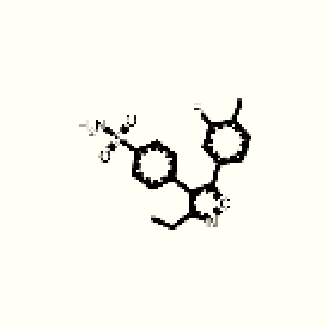 CCc1noc(-c2ccc(C)c(F)c2)c1-c1ccc(S(N)(=O)=O)cc1